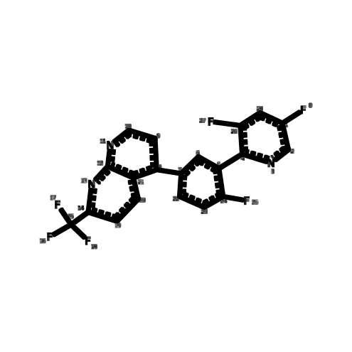 Fc1cnc(-c2cc(-c3ccnc4nc(C(F)(F)F)ccc34)ccc2F)c(F)c1